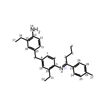 CCC/C(=N\c1ccc(Cc2ccc(N)c(CC)c2)cc1CC)c1ccc(C)cc1